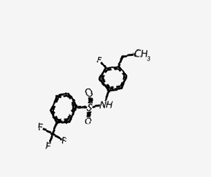 CCc1ccc(NS(=O)(=O)c2cccc(C(F)(F)F)c2)cc1F